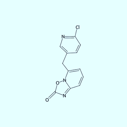 O=c1nc2cccc(Cc3ccc(Cl)nc3)n2o1